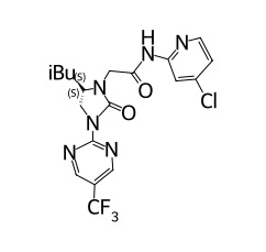 CC[C@H](C)[C@H]1CN(c2ncc(C(F)(F)F)cn2)C(=O)N1CC(=O)Nc1cc(Cl)ccn1